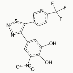 O=[N+]([O-])c1cc(-c2nnsc2-c2ccc(C(F)(F)F)nc2)cc(O)c1O